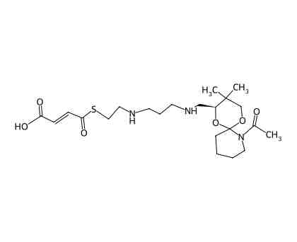 CC(=O)N1CCCCC12OCC(C)(C)[C@H](CNCCCNCCSC(=O)/C=C/C(=O)O)O2